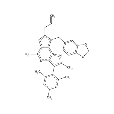 C=CCc1cc2c(C)nc3c(-c4c(C)cc(C)cc4C)c(C)nn3c2n1Cc1ccc2c(c1)OCO2